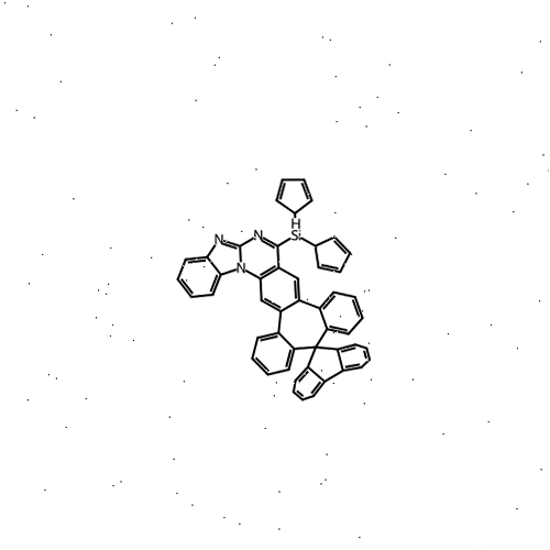 C1=CC([SiH](c2nc3nc4ccccc4n3c3cc4c(cc23)-c2ccccc2C2(c3ccccc3-4)c3ccccc3-c3ccccc32)C2C=CC=C2)C=C1